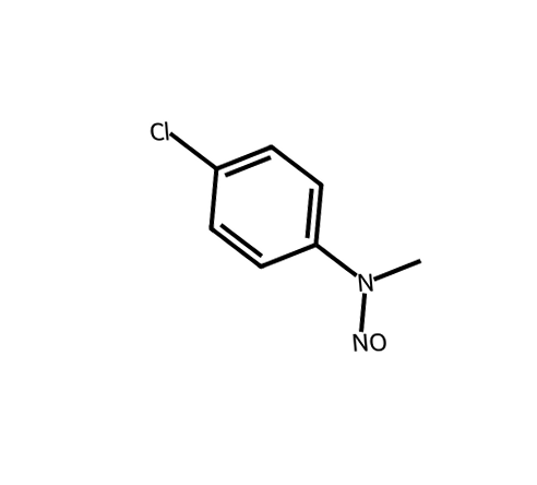 CN(N=O)c1ccc(Cl)cc1